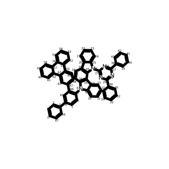 c1ccc(-c2ccc(-n3c4ccccc4c4c3ccc3c5ccccc5n(-c5nc(-c6ccccc6)nc(-c6ccccc6)n5)c34)c(-c3ccc4c5ccccc5c5ccccc5c4c3)c2)cc1